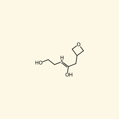 OCC[SH]=C(O)CC1COC1